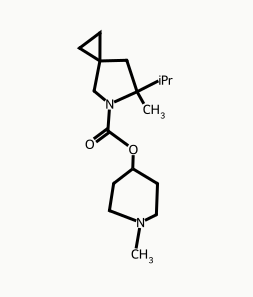 CC(C)C1(C)CC2(CC2)CN1C(=O)OC1CCN(C)CC1